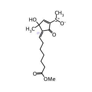 COC(=O)CCCCC/C=C1\C(=O)C([S+](C)[O-])=CC1(C)O